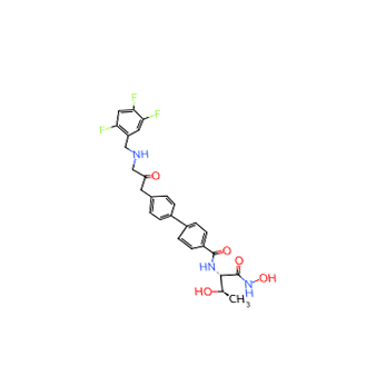 C[C@@H](O)[C@H](NC(=O)c1ccc(-c2ccc(CC(=O)CNCc3cc(F)c(F)cc3F)cc2)cc1)C(=O)NO